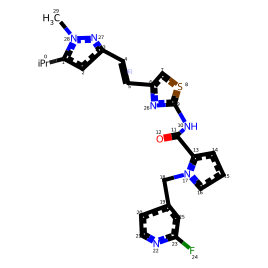 CC(C)c1cc(/C=C/c2csc(NC(=O)c3cccn3Cc3ccnc(F)c3)n2)nn1C